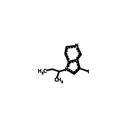 CCC(C)n1cc(I)c2cnccc21